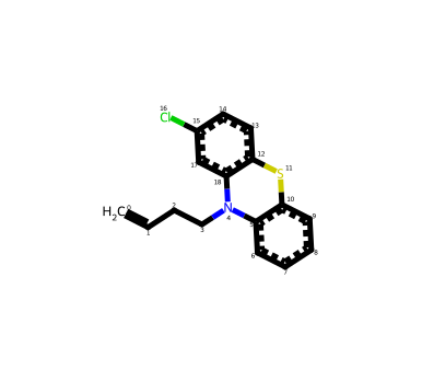 C=CCCN1c2ccccc2Sc2ccc(Cl)cc21